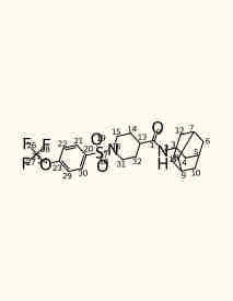 O=C(NC12CC3CC(CC(C3)C1)C2)C1CCN(S(=O)(=O)c2ccc(OC(F)(F)F)cc2)CC1